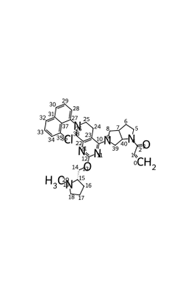 C=CC(=O)N1CCC2CN(c3nc(OC[C@@H]4CCCN4C)nc4c3CCN(c3cccc5cccc(Cl)c35)C4)CC21